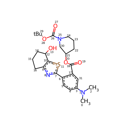 CN(C)c1ccc(-c2nc3c(s2)C(O)CCC3)c(C(=O)OC2CCCN(C(=O)OC(C)(C)C)C2)c1